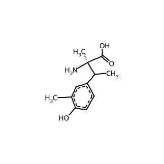 Cc1cc(C(C)[C@@](C)(N)C(=O)O)ccc1O